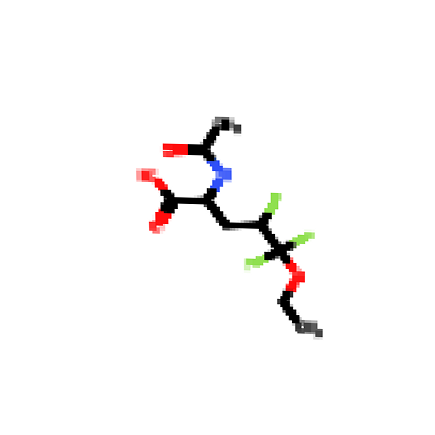 CCOC(F)(F)C(F)CC(NC(C)=O)C(=O)O